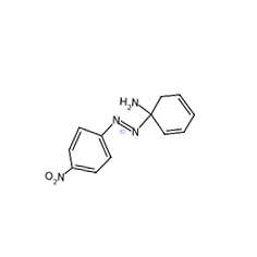 NC1(/N=N/c2ccc([N+](=O)[O-])cc2)C=CC=CC1